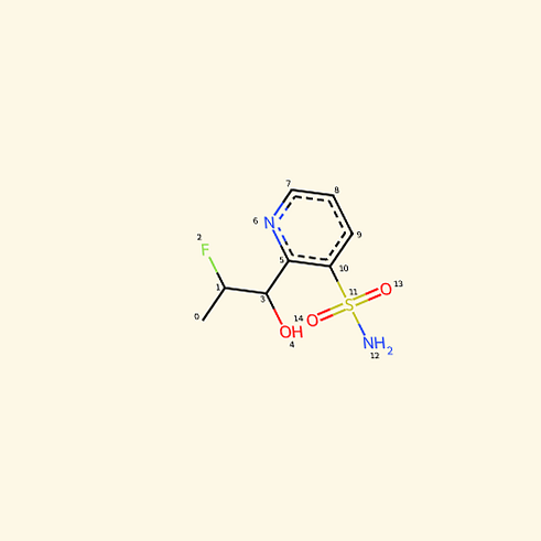 CC(F)C(O)c1ncccc1S(N)(=O)=O